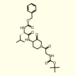 CC(C)C[C@H](NC(=O)OCc1ccccc1)C(=O)NC1CCN(C(=O)CNC(=O)OC(C)(C)C)CC1=O